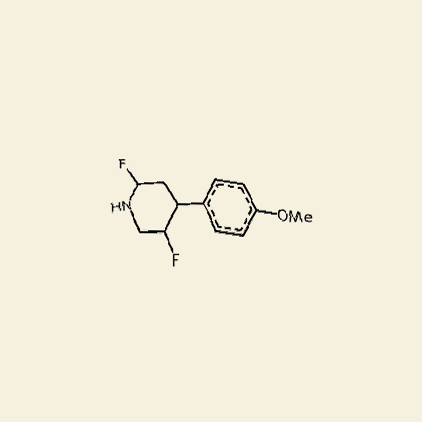 COc1ccc(C2CC(F)NCC2F)cc1